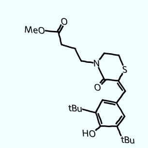 COC(=O)CCCN1CCSC(=Cc2cc(C(C)(C)C)c(O)c(C(C)(C)C)c2)C1=O